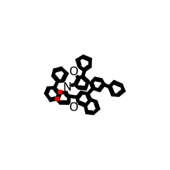 c1ccc(-c2cccc(-c3cc4c(oc5cccc(N(c6ccccc6-c6ccccc6)c6cccc7c6oc6ccccc67)c54)c4ccccc34)c2)cc1